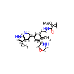 COC1(C(=O)NCCc2cc(-c3cnc4[nH]cc(C)c4c3)cc(C3COCCN3)c2C)CC1